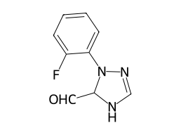 O=CC1NC=NN1c1ccccc1F